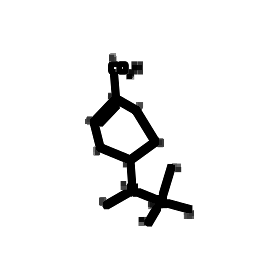 CN(C1CC=C(C(=O)O)CC1)[Si](C)(C)C